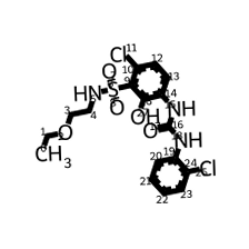 CCOCCNS(=O)(=O)c1c(Cl)ccc(NC(=O)Nc2ccccc2Cl)c1O